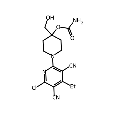 CCc1c(C#N)c(Cl)nc(N2CCC(CO)(OC(N)=O)CC2)c1C#N